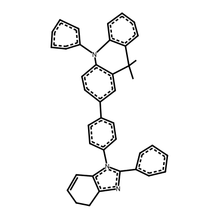 CC1(C)c2ccccc2N(c2ccccc2)c2ccc(-c3ccc(-n4c(-c5ccccc5)nc5c4C=CCC5)cc3)cc21